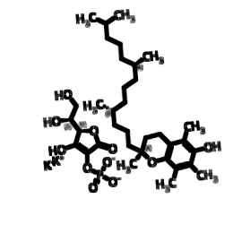 Cc1c(C)c2c(c(C)c1O)CC[C@@](C)(CCC[C@H](C)CCC[C@H](C)CCCC(C)C)O2.O=C1O[C@H]([C@@H](O)CO)C(O)=C1OP(=O)([O-])[O-].[K+].[K+]